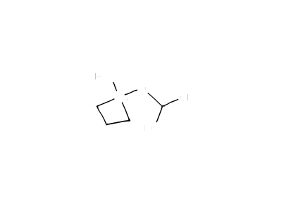 CC(C)O[Si]1(C)CCC1